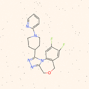 Fc1cc2c(cc1F)-n1c(nnc1C1CCN(c3ccccn3)CC1)COC2